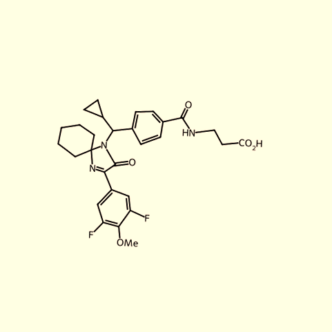 COc1c(F)cc(C2=NC3(CCCCC3)N(C(c3ccc(C(=O)NCCC(=O)O)cc3)C3CC3)C2=O)cc1F